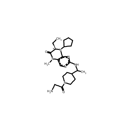 CC[C@@H]1C(=O)N(C)c2cnc(NC(C)C3CCN(C(=O)CN)CC3)nc2N1C1CCCC1